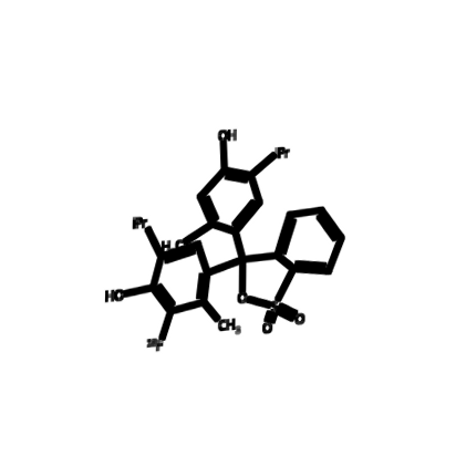 Cc1cc(O)c(C(C)C)cc1C1(c2cc(C(C)C)c(O)c([18F])c2C)OS(=O)(=O)c2ccccc21